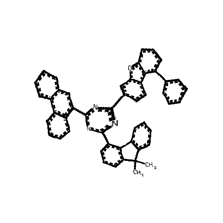 CC1(C)c2ccccc2-c2c(-c3nc(-c4ccc5c(c4)oc4cccc(-c6ccccc6)c45)nc(-c4cc5ccccc5c5ccccc45)n3)cccc21